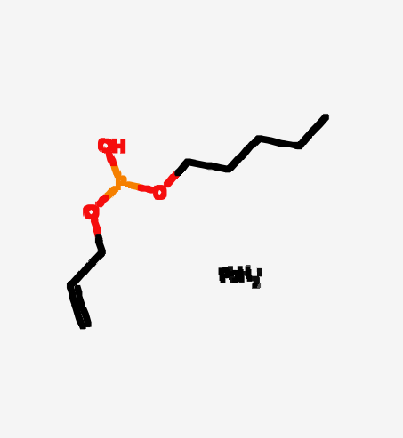 C=CCOP(O)OCCCCC.[PbH2]